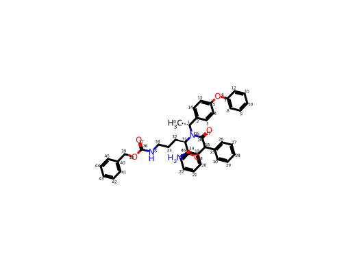 C[C@H](c1ccc(Oc2ccccc2)cc1)N(C(=O)C(c1ccccc1)c1ccccc1)[C@H](CCCNC(=O)OCc1ccccc1)C(N)=O